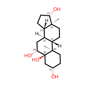 C[C@]12CC[C@H]3[C@@H](C[C@@H](O)[C@@]4(O)C[C@@H](O)CC[C@]34C)[C@@H]1CC[C@@H]2O